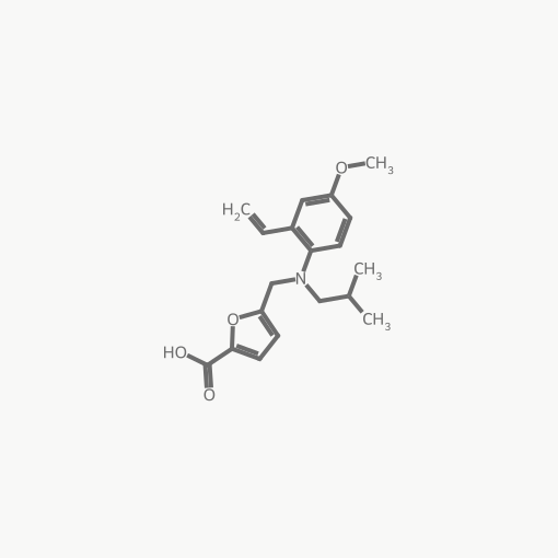 C=Cc1cc(OC)ccc1N(Cc1ccc(C(=O)O)o1)CC(C)C